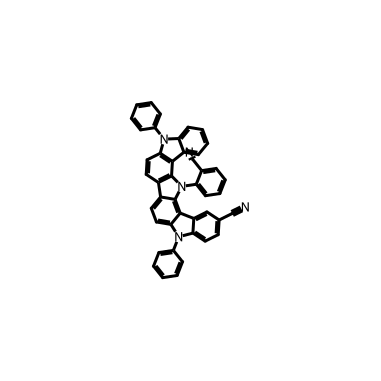 N#Cc1ccc2c(c1)c1c(ccc3c4ccc5c(c6ccccc6n5-c5ccccc5)c4n(-c4ccccc4C#N)c31)n2-c1ccccc1